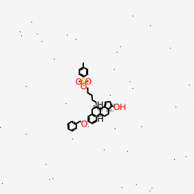 Cc1ccc(S(=O)(=O)OCCCCC[C@@H]2Cc3cc(OCc4ccccc4)ccc3[C@H]3CC[C@@]4(C)C(=CC[C@@H]4O)[C@H]23)cc1